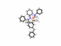 CN(c1ccccc1)[C@H]1CCCC[C@@H]1N1[C@H](c2ccccc2)[C@H]2C=CC(Cc3ccccc3)C=C2[P@@]1(C)=O